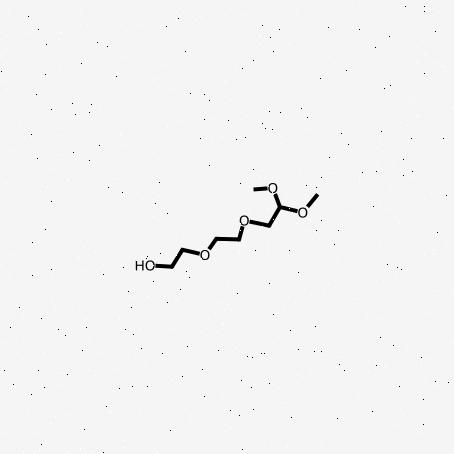 COC(COCCOCCO)OC